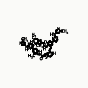 Cc1cc(-c2ccnc(Nc3cnn(C)c3)n2)ccc1CNC(=O)c1cc2c(s1)CCNC2CCc1cc(-c2ccnc(Nc3cnn(C)c3)n2)ccc1CNC(=O)C1=CC2(C)CNC(C)CC2S1